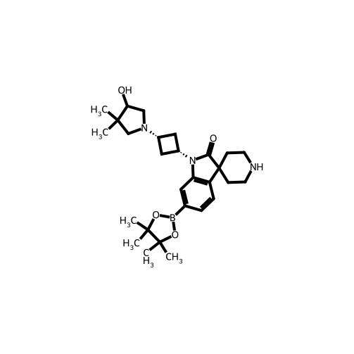 CC1(C)CN([C@H]2C[C@@H](N3C(=O)C4(CCNCC4)c4ccc(B5OC(C)(C)C(C)(C)O5)cc43)C2)CC1O